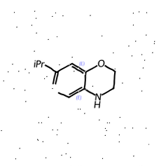 C=C(/C=C1/OCCN/C1=C/C)C(C)C